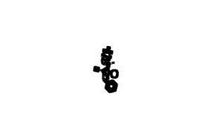 C#C[C@@H]1[C@@H]([C@@H](C)O[Si](C)(C)C(C)(C)C)C(=O)N1Cc1ccccc1